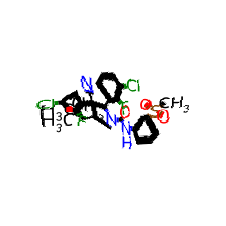 CC(C)(C)C[C@@H]1CN(C(=O)Nc2cccc(S(C)(=O)=O)c2)[C@H](c2cccc(Cl)c2F)[C@@]1(C#N)c1ccc(Cl)cc1F